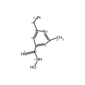 Cc1cc(C(=N)NO)cc(CC(C)C)n1